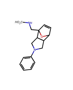 O=C(O)NCC12C=CC(O1)C1CN(c3ccccc3)CC12